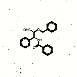 O=C[C@@H](OCc1ccccc1)[C@H](NC(=O)c1ccccc1)c1ccccc1